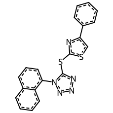 c1ccc(-c2csc(Sc3nnnn3-c3cccc4ccccc34)n2)cc1